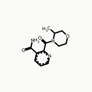 CC1COCCN1C(=O)c1ncccc1C(N)=O